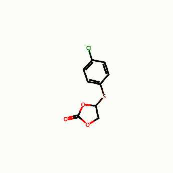 O=C1OCC(Sc2ccc(Cl)cc2)O1